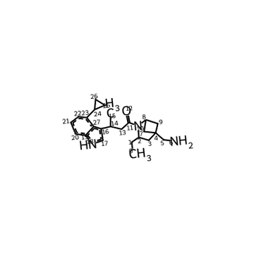 CCC1CC2(CN)CC(C2)N1C(=O)CC(C)c1c[nH]c2cccc(C3CC3)c12